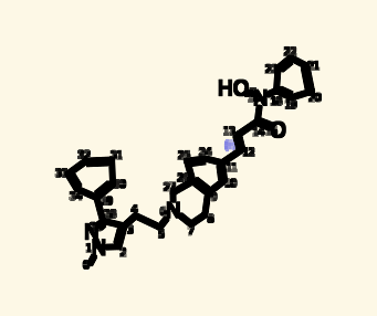 Cn1cc(CCN2CCc3cc(/C=C/C(=O)N(O)c4ccccc4)ccc3C2)c(-c2ccccc2)n1